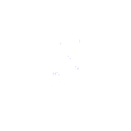 Cc1cc(F)cc([C@](Cc2ccccc2)(N[S@+]([O-])C(C)(C)C)c2nccc(CF)n2)c1